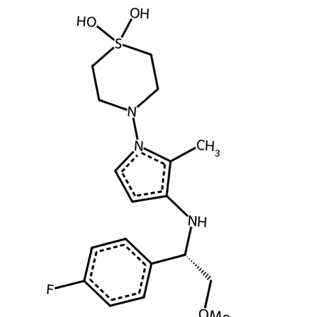 COC[C@@H](Nc1ccn(N2CCS(O)(O)CC2)c1C)c1ccc(F)cc1